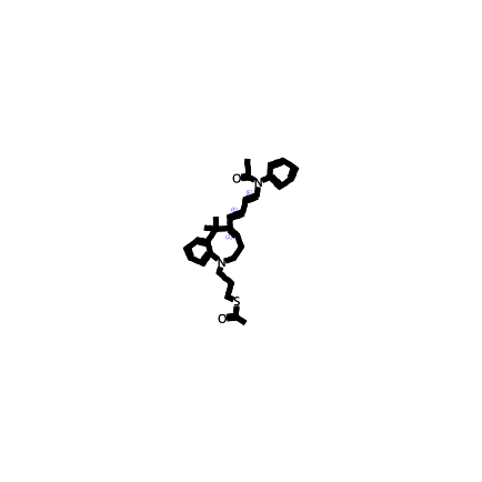 CC(=O)SCCCN1CC/C=C(/C=C/C=C/N(C(C)=O)c2ccccc2)C(C)(C)c2ccccc21